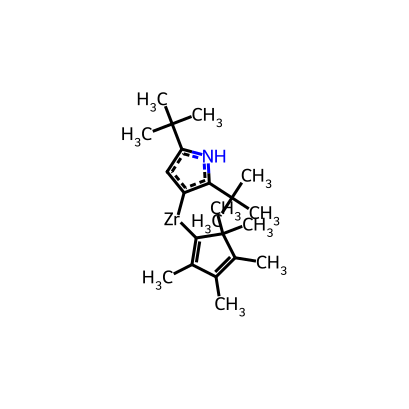 CC1=C(C)C(C)(C)[C]([Zr][c]2cc(C(C)(C)C)[nH]c2C(C)(C)C)=C1C